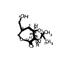 CC1(C)O[C@@H]2CC(CO)COC(=O)[C@@H]2O1